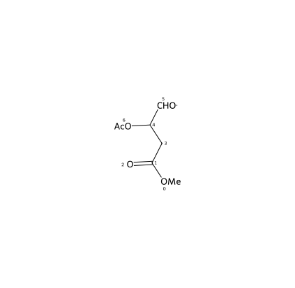 COC(=O)CC([C]=O)OC(C)=O